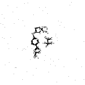 C[N+]1(C)CCC(Oc2ccc(-c3noc(C(F)(F)F)n3)cn2)C1.O=C([O-])C(F)(F)F